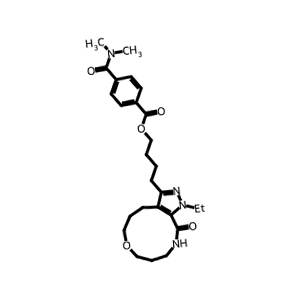 CCn1nc(CCCCOC(=O)c2ccc(C(=O)N(C)C)cc2)c2c1C(=O)NCCCOCCC2